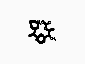 C=C(Cl)OC(=O)C(C)c1cccc(C(=O)c2ccccc2)c1